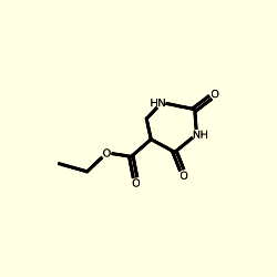 CCOC(=O)C1CNC(=O)NC1=O